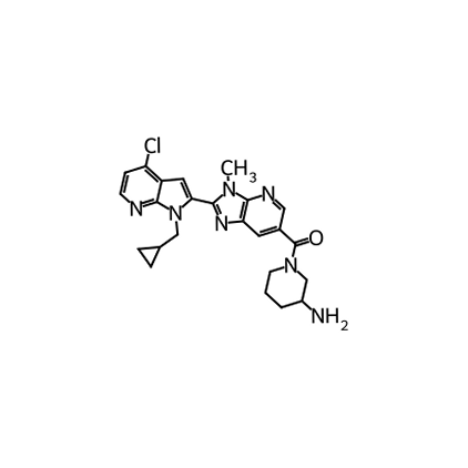 Cn1c(-c2cc3c(Cl)ccnc3n2CC2CC2)nc2cc(C(=O)N3CCCC(N)C3)cnc21